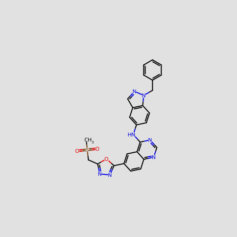 CS(=O)(=O)Cc1nnc(-c2ccc3ncnc(Nc4ccc5c(cnn5Cc5ccccc5)c4)c3c2)o1